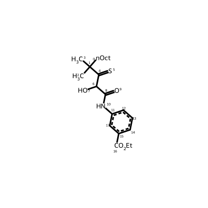 CCCCCCCCC(C)(C)C(=S)C(O)C(=O)Nc1cccc(C(=O)OCC)c1